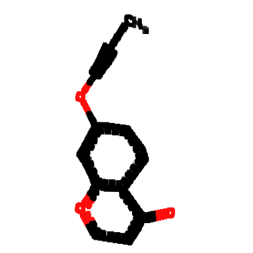 CC#COc1ccc2c(=O)ccoc2c1